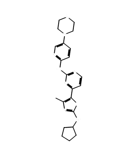 Cc1nc(NC2CCCC2)sc1-c1ccnc(Nc2ccc(N3CCNCC3)cn2)n1